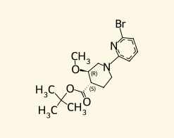 CO[C@H]1CN(c2cccc(Br)n2)CC[C@@H]1C(=O)OC(C)(C)C